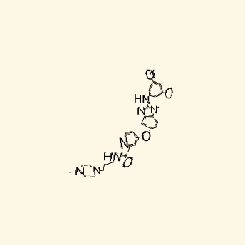 COc1cc(Nc2nc3cc(Oc4ccnc(C(=O)NCCCN5CCN(C)CC5)c4)ccc3n2C)cc(OC)c1